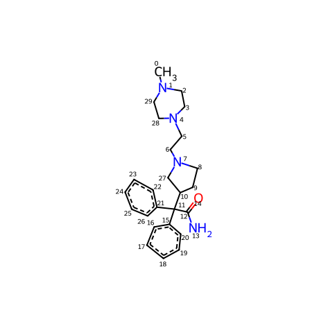 CN1CCN(CCN2CCC(C(C(N)=O)(c3ccccc3)c3ccccc3)C2)CC1